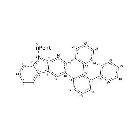 CCCCCn1c2ccccc2c2cc(-c3cccc(-c4ccccc4)c3-c3ccccc3)ccc21